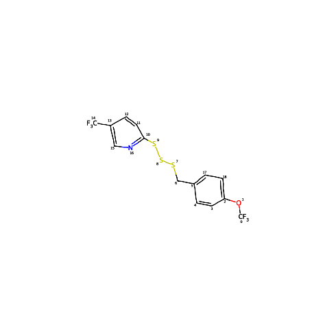 FC(F)(F)Oc1ccc(CSSSc2ccc(C(F)(F)F)cn2)cc1